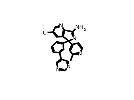 Cc1cc(C2(c3cccc(-c4cncnc4)c3)N=C(N)c3ncc(Cl)cc32)ccn1